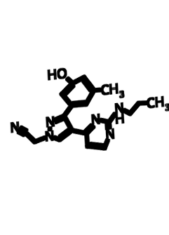 CCCNc1nccc(-c2cn(CC#N)nc2-c2cc(C)cc(O)c2)n1